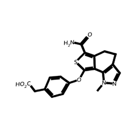 Cn1ncc2c1-c1c(Oc3ccc(CC(=O)O)cc3)sc(C(N)=O)c1CC2